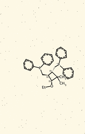 CCO[C@H]1[C@@H](CP(c2ccccc2)c2ccccc2)[C@H](CP(c2ccccc2)c2ccccc2)C1(C)C